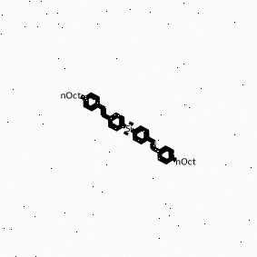 CCCCCCCCc1ccc(/C=C/c2ccc([Si](C)(C)c3ccc(/C=C/c4ccc(CCCCCCCC)cc4)cc3)cc2)cc1